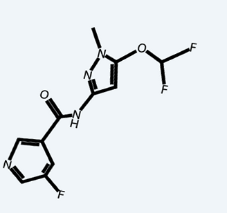 Cn1nc(NC(=O)c2cncc(F)c2)cc1OC(F)F